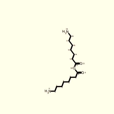 NCCCCCCCC(=O)OC(=O)CCCCCCN